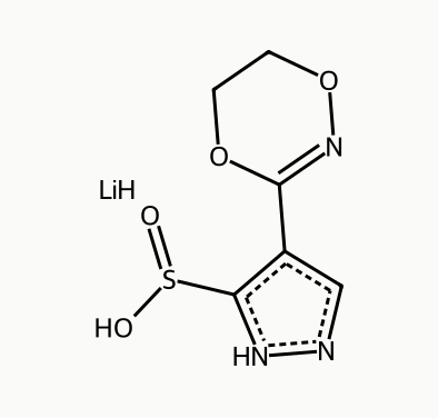 O=S(O)c1[nH]ncc1C1=NOCCO1.[LiH]